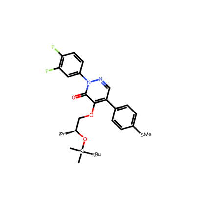 CSc1ccc(-c2cnn(-c3ccc(F)c(F)c3)c(=O)c2OC[C@@H](O[Si](C)(C)C(C)(C)C)C(C)C)cc1